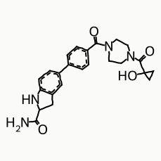 NC(=O)C1Cc2cc(-c3ccc(C(=O)N4CCN(C(=O)C5(O)CC5)CC4)cc3)ccc2N1